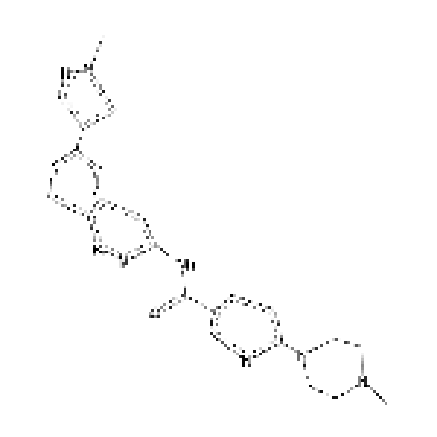 CN1CCN(c2ccc(C(=O)Nc3cc4cc(-c5cnn(C)c5)ccc4nn3)cn2)CC1